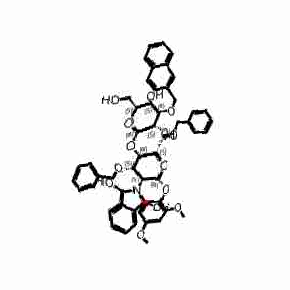 COc1ccc(O[C@H]2O[C@@H](COCc3ccccc3)[C@H](O[C@H]3O[C@@H](CO)[C@H](O)[C@@H](OCc4ccc5ccccc5c4)[C@@H]3O)[C@@H](OCc3ccccc3)[C@@H]2N2C(O)c3ccccc3C2O)c(OC)c1